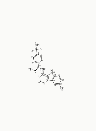 CC(C)(O)c1ccc([C@H](CF)N[C@@H]2CCCc3c2[nH]c2ccc(Br)cc32)cc1